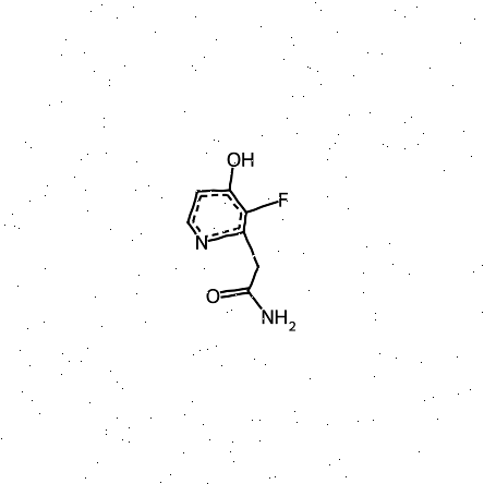 NC(=O)Cc1nccc(O)c1F